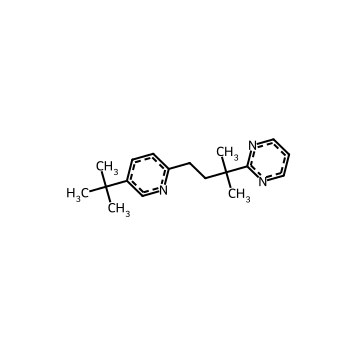 CC(C)(C)c1ccc(CCC(C)(C)c2ncccn2)nc1